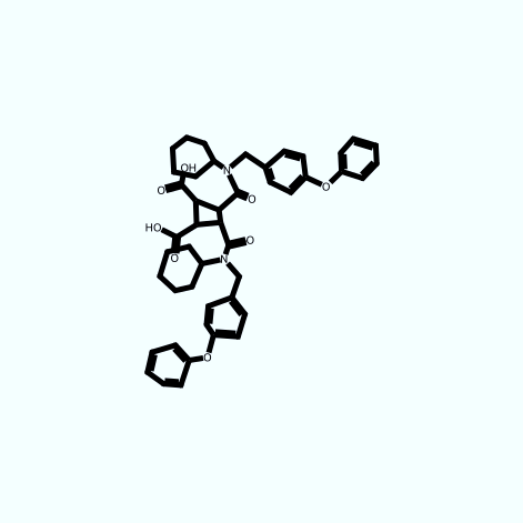 O=C(O)C1C(C(=O)O)C(C(=O)N(Cc2ccc(Oc3ccccc3)cc2)C2CCCCC2)C1C(=O)N(Cc1ccc(Oc2ccccc2)cc1)C1CCCCC1